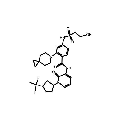 CC(F)(F)[C@H]1CC[C@H](n2cccc(NC(=O)c3ccc(NS(=O)(=O)CCO)cc3N3CCC4(CC3)CC4)c2=O)C1